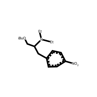 CCN(CC)C(COCC(C)C)Cc1ccc([N+](=O)[O-])cc1